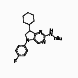 CCCCNc1ncc2c(n1)C(C1CCCCC1)CN2c1ccc(F)cc1